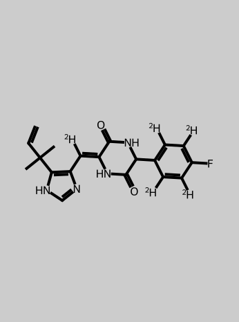 [2H]C(=C1NC(=O)C(c2c([2H])c([2H])c(F)c([2H])c2[2H])NC1=O)c1nc[nH]c1C(C)(C)C=C